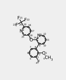 COc1c(F)cccc1-c1cccnc1Oc1ccc(C(F)(F)F)nc1